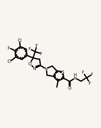 Cc1c(C(=O)NCC(F)(F)F)sc2c1CN(C1=NOC(c3cc(Cl)c(F)c(Cl)c3)(C(F)(F)F)C1)C2